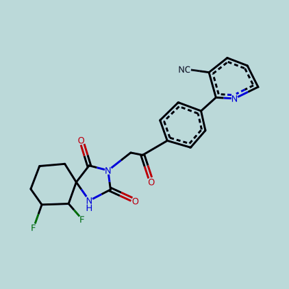 N#Cc1cccnc1-c1ccc(C(=O)CN2C(=O)NC3(CCCC(F)C3F)C2=O)cc1